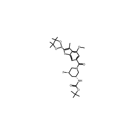 COc1cc(C(=O)N2C[C@H](F)C[C@@H](NC(=O)OC(C)(C)C)C2)cc2sc(B3OC(C)(C)C(C)(C)O3)c(C)c12